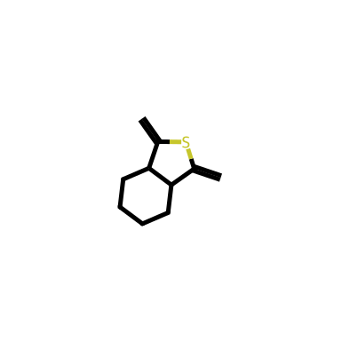 C=C1SC(=C)C2CCCCC12